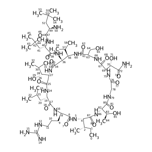 CC[C@H](C)[C@@H]1NC(=O)[C@@H](CCCNC(=N)N)NC(=O)[C@H](CC(C)C)NC(=O)[C@H]([C@H](O)C(C)C)NC(=O)[C@@H](NC(=O)[C@H](CC(C)(C)C)NC(=O)[C@H](N)CC(C)(C)C)[C@@H](C(C)C)NC(=O)C(CO)NC(=O)[C@H]([C@H](O)C(N)=O)NC(=O)CNC(=O)[C@H]([C@H](C)O)NC1=O